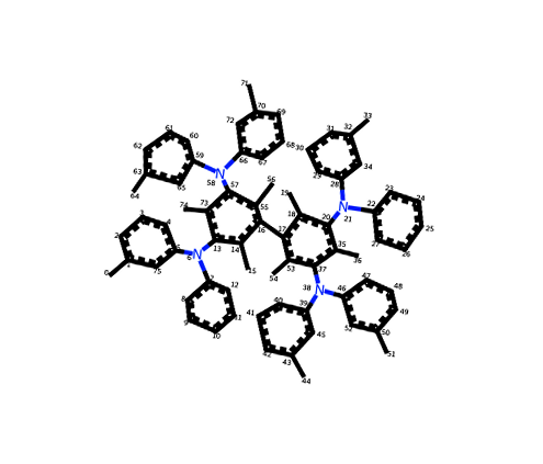 Cc1cccc(N(c2ccccc2)c2c(C)c(-c3c(C)c(N(c4ccccc4)c4cccc(C)c4)c(C)c(N(c4cccc(C)c4)c4cccc(C)c4)c3C)c(C)c(N(c3cccc(C)c3)c3cccc(C)c3)c2C)c1